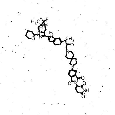 CN(C(=O)CN1CCC2(CC1)CCN(c1ccc3c(c1)C(=O)N(C1CCC(=O)NC1=O)C3=O)C2)c1ccc2cc(-c3nn(C4CCCCO4)c4c3C[C@@H]3C(F)(F)[C@]3(C)C4)[nH]c2c1